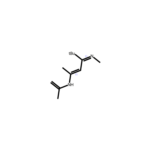 C=C(C)N/C(C)=C/C(=N\C)C(C)(C)C